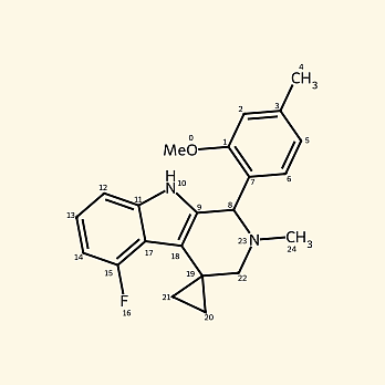 COc1cc(C)ccc1C1c2[nH]c3cccc(F)c3c2C2(CC2)CN1C